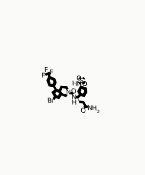 CS(=O)(=O)Nc1cccc([C@H](CCC(N)=O)NC(=O)N2CCc3c(cc(Br)cc3-c3ccc(C(F)(F)F)cc3)C2)c1